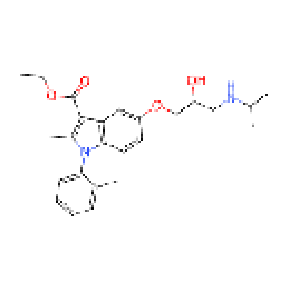 CCOC(=O)c1c(C)n(-c2ccccc2C)c2ccc(OCC(O)CNC(C)C)cc12